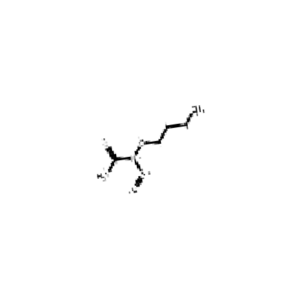 CCCCON(N=O)C(N)=O